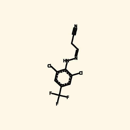 N#CC/C=N\Nc1c(Cl)cc(C(F)(F)F)cc1Cl